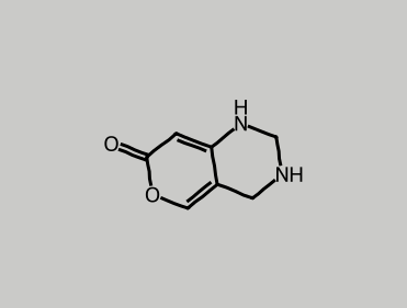 O=c1cc2c(co1)CNCN2